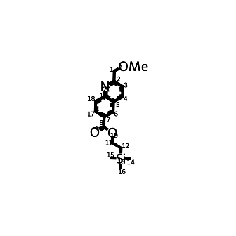 COCc1ccc2cc(C(=O)OCC[Si](C)(C)C)ccc2n1